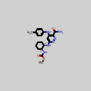 Cc1ccc(Nc2cc(N[C@@H]3CCCC[C@@H]3NC(=O)OC(C)(C)C)nnc2C(N)=O)cc1